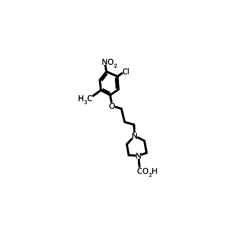 Cc1cc([N+](=O)[O-])c(Cl)cc1OCCCN1CCN(C(=O)O)CC1